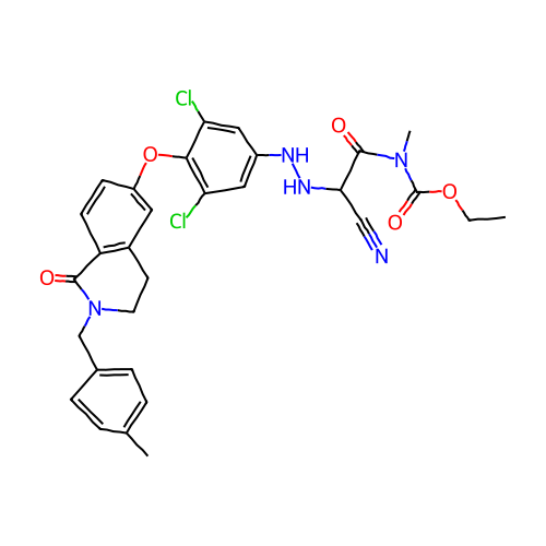 CCOC(=O)N(C)C(=O)C(C#N)NNc1cc(Cl)c(Oc2ccc3c(c2)CCN(Cc2ccc(C)cc2)C3=O)c(Cl)c1